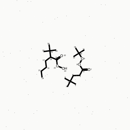 CC(C)(C)CCC(=O)OOC(C)(C)C.CCCCC(C(=O)OO)C(C)(C)C